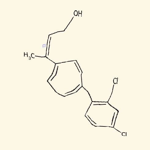 C/C(=C/CO)c1ccc(-c2ccc(Cl)cc2Cl)cc1